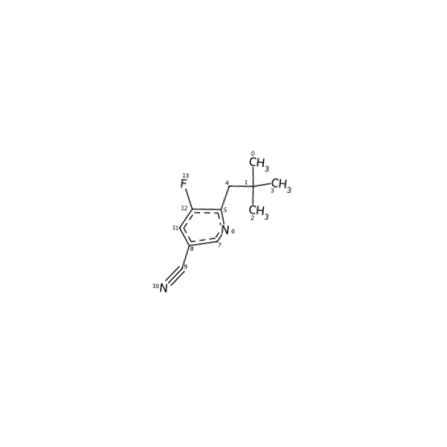 CC(C)(C)Cc1ncc(C#N)cc1F